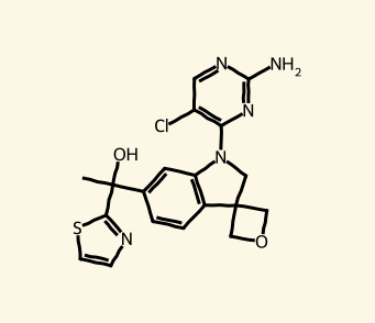 CC(O)(c1ccc2c(c1)N(c1nc(N)ncc1Cl)CC21COC1)c1nccs1